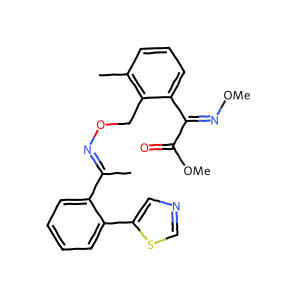 CO/N=C(/C(=O)OC)c1cccc(C)c1CO/N=C(\C)c1ccccc1-c1cncs1